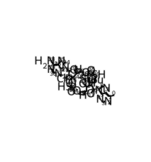 Cc1ncnc2c1ncn2[C@@H]1O[C@@H]2COP(=O)(S)O[C@H]3[C@@H](Cl)[C@H](n4cnc5c(N)ncnc54)O[C@@H]3COP(=O)(S)O[C@@H]1C2O[Si](C)(C)C(C)(C)C